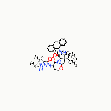 CN[C@@H](C)C(=O)N[C@H]1CCOC2CC(C(C)C)(C(C)C)C(C(=O)NC3c4ccccc4Cc4ccccc43)N2C1=O